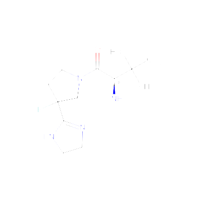 CC(C)(C)[C@@H](N)C(=O)N1CCC(F)(C2=NCCN2)C1